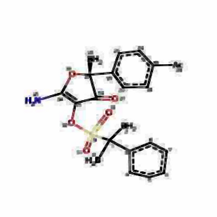 BC(B)(c1ccccc1)S(=O)(=O)OC1=C(N)O[C@](B)(c2ccc(C(C)=O)cc2)C1=O